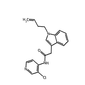 C=CCCn1cc(CC(=O)Nc2ccncc2Cl)c2ccccc21